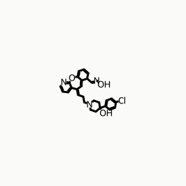 ON=CC1C=CC=C2Oc3ncccc3C(=CCCN3CCC(O)(c4ccc(Cl)cc4)CC3)C=C21